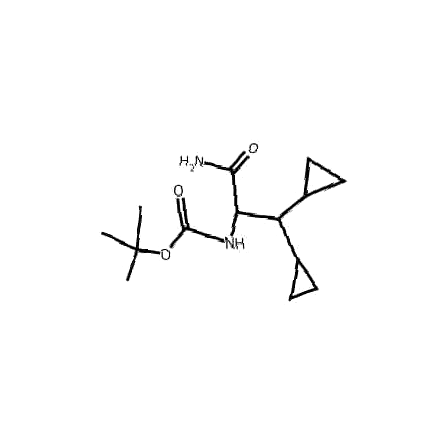 CC(C)(C)OC(=O)NC(C(N)=O)C(C1CC1)C1CC1